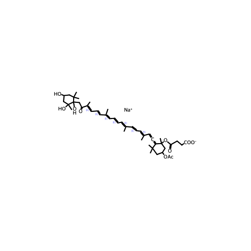 CC(=O)OC1CC(C)(C)C(=C=C/C(C)=C/C=C/C(C)=C/C=C/C=C(C)/C=C/C=C(\C)C(=O)CC2(O)C(C)(C)CC(O)CC2(C)O)C(C)(OC(=O)CCC(=O)[O-])C1.[Na+]